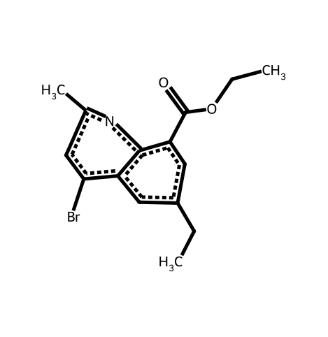 CCOC(=O)c1cc(CC)cc2c(Br)cc(C)nc12